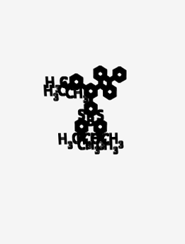 CC(C)(C)c1cccc(-c2cc(-c3cc4c5c(c3)Sc3ccc(C(C)(C)C)cc3B5c3cc(C(C)(C)C)ccc3S4)cc(-c3c4ccccc4c(-c4ccccc4)c4ccccc34)c2)c1